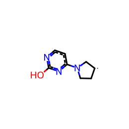 Oc1nccc(N2C[CH]CC2)n1